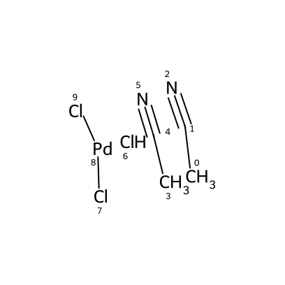 CC#N.CC#N.Cl.[Cl][Pd][Cl]